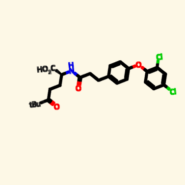 CC(C)(C)C(=O)CC[C@H](NC(=O)CCc1ccc(Oc2ccc(Cl)cc2Cl)cc1)C(=O)O